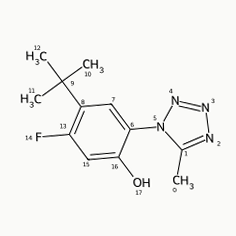 Cc1nnnn1-c1cc(C(C)(C)C)c(F)cc1O